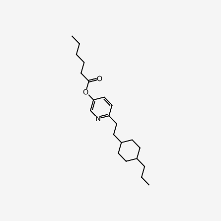 CCCCCC(=O)Oc1ccc(CCC2CCC(CCC)CC2)nc1